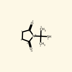 CC(C)(S)N1C(=O)CCC1=O